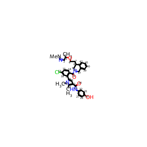 CN/N=C\C(C)OCCC1CN(C(=O)c2ccc(Cl)cc2-c2cc(C(=O)Nc3ccc(O)cc3)c(C)n2C)Cc2ccccc21